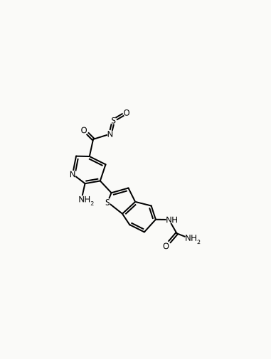 NC(=O)Nc1ccc2sc(-c3cc(C(=O)N=S=O)cnc3N)cc2c1